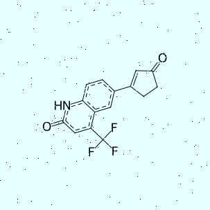 O=C1C=C(c2ccc3[nH]c(=O)cc(C(F)(F)F)c3c2)CC1